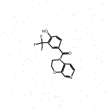 O=C(c1ccc(O)c(C(F)(F)F)c1)N1CCOc2cnccc21